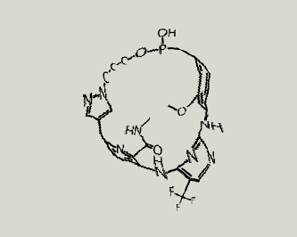 CNC(=O)c1nc2ccc1Nc1nc(ncc1C(F)(F)F)Nc1ccc(cc1OC)CP(O)OCCCn1cc-2cn1